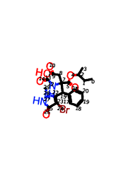 CCC(C)OC(=O)C(CC(=O)O)(NC=O)C(c1ccccc1)c1c(Br)c(=O)[nH]n1C